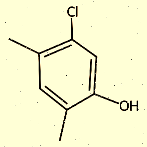 Cc1cc(C)c(Cl)cc1O